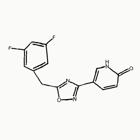 O=c1ccc(-c2noc(Cc3cc(F)cc(F)c3)n2)c[nH]1